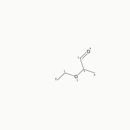 [CH2]COC(C)C=O